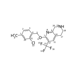 Cc1ccc(COc2nc3c(cc2C(F)(F)F)CCNC3)c(Cl)c1